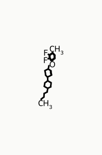 CCCCCC1CCC(C2C=CC(COc3ccc(C)c(F)c3F)CC2)CC1